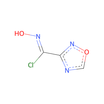 O/N=C(\Cl)c1ncon1